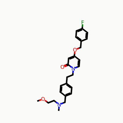 COCCN(C)Cc1ccc(CCn2ccc(OCc3ccc(F)cc3)cc2=O)cc1